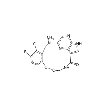 CN1Cc2c(ccc(F)c2Cl)OCCNC(=O)c2c[nH]c3ncc1nc23